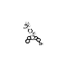 CC(C)(C)OC(=O)N[C@H]1CC[C@H](C(=O)Nc2cc3ccc(C#N)cc3n2Cc2cccc3ccccc23)CC1